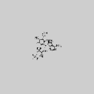 COc1c(C(C)n2nc(C)c3c(N)ncnc32)cc(C)c(C#N)c1C1CNC1.O=C(O)C(F)(F)F.O=C(O)C(F)(F)F